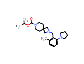 O=C(OC(C(F)(F)F)C(F)(F)F)N1CCC2(CC1)CN(Cc1c(N3CCCC3)cccc1C(F)(F)F)C2